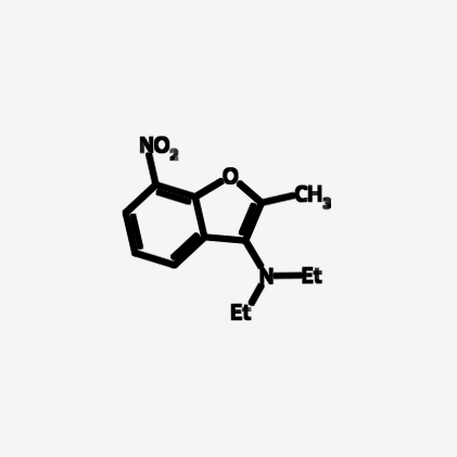 CCN(CC)c1c(C)oc2c([N+](=O)[O-])cccc12